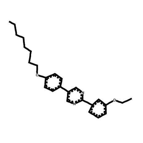 CCCCCCCCOc1ccc(-c2cnc(-c3cccc(OCC)c3)nc2)cc1